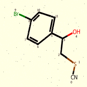 N#CSCC(O)c1ccc(Br)cc1